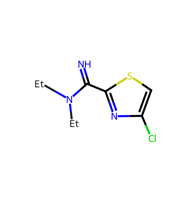 CCN(CC)C(=N)c1nc(Cl)cs1